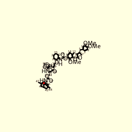 COc1ccc(C[C@H]2COC(=O)[C@@H]2Cc2ccc(OC(=O)N[C@H]3CCCC[C@@H]3OCCOC(=O)[C@H](COC(=O)NC34CC5CC(C)(CC(C)(C5)C3)C4)NC(=O)OC(C)(C)C)c(OC)c2)cc1OC